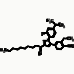 CCCCCCCCCC(=O)c1cc(-c2ccc(C#N)c(CC)c2)n(-c2ccc(C(C)C)cc2F)n1